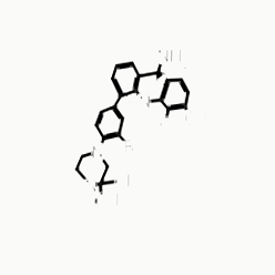 Cc1cccc(Nc2c(C(N)=O)cccc2-c2ccc(N3CCNC(C)(C)C3)c(Br)c2)c1Cl